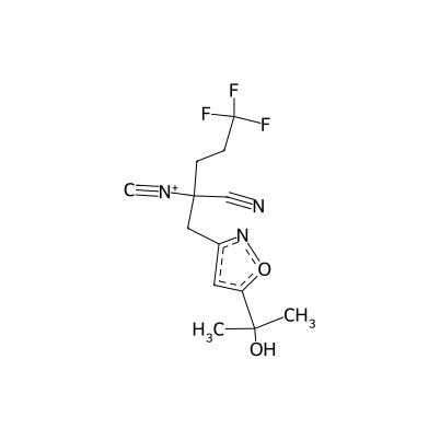 [C-]#[N+]C(C#N)(CCC(F)(F)F)Cc1cc(C(C)(C)O)on1